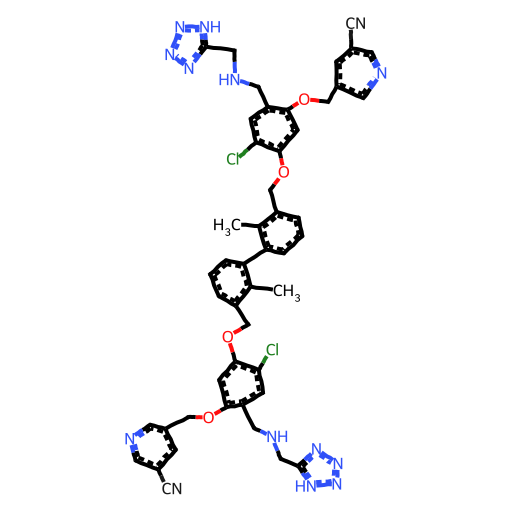 Cc1c(COc2cc(OCc3cncc(C#N)c3)c(CNCc3nnn[nH]3)cc2Cl)cccc1-c1cccc(COc2cc(OCc3cncc(C#N)c3)c(CNCc3nnn[nH]3)cc2Cl)c1C